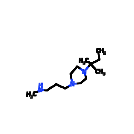 CCC(C)(C)N1CCN(CCCNC)CC1